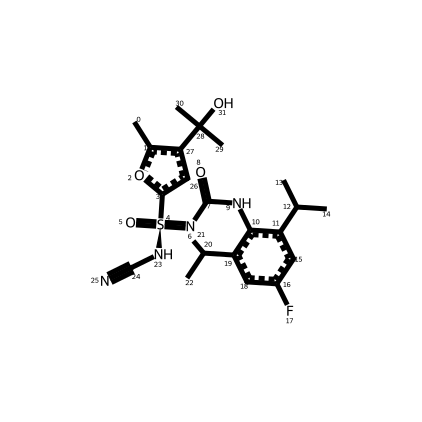 Cc1oc([S@@](=O)(=NC(=O)Nc2c(C(C)C)cc(F)cc2C(C)C)NC#N)cc1C(C)(C)O